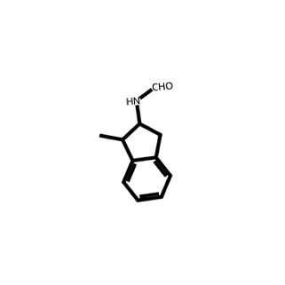 CC1c2ccccc2CC1NC=O